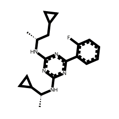 C[C@H](CC1CC1)Nc1nc(N[C@H](C)C2CC2)nc(-c2ccccc2F)n1